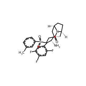 Cc1cccc(S(=O)(=O)CCC(=O)N2[C@@H]3CC[C@H]2C[C@H]([C@H](N)Cc2cc(F)c(F)cc2F)C3)c1